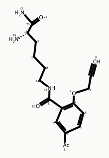 C#CCOc1ccc(C(C)=O)cc1C(=O)NCCCC[C@H](N)C(N)=O